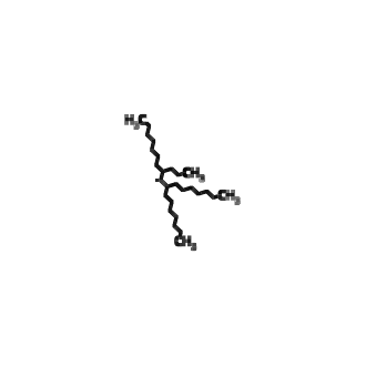 CCCCCCCC([CH]C(CCCCCCC)CCCCCCC)CCC